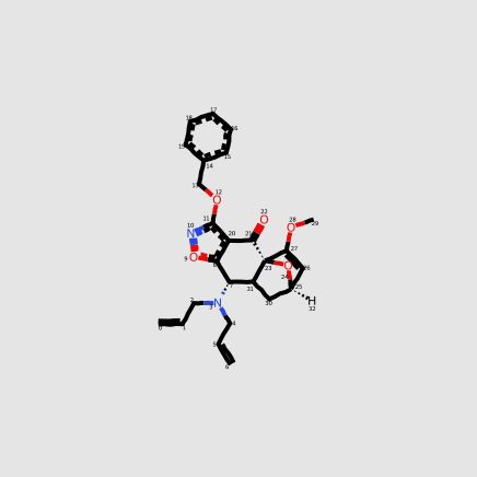 C=CCN(CC=C)[C@@H]1c2onc(OCc3ccccc3)c2C(=O)[C@@]23O[C@@H](C=C2OC)CC13